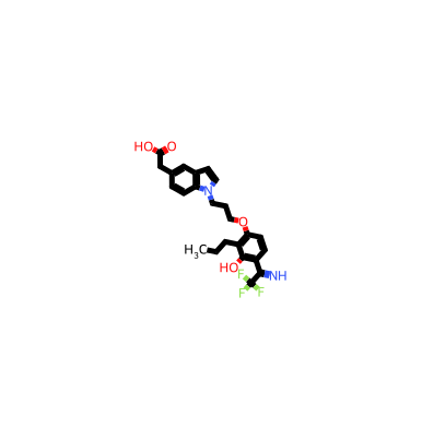 CCCc1c(OCCCn2ccc3cc(CC(=O)O)ccc32)ccc(C(=N)C(F)(F)F)c1O